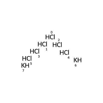 Cl.Cl.Cl.Cl.Cl.Cl.[KH].[KH]